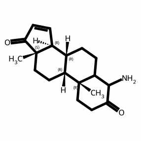 C[C@]12CCC(=O)C(N)C1CC[C@@H]1[C@H]2CC[C@]2(C)C(=O)C=C[C@@H]12